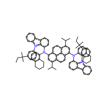 CCC(C)(C)c1cccc(-n2c3ccccc3c3cccc(N(c4cccc5c4CCCC5)c4cc(C(C)C)c5ccc6c(N(c7cccc8c7CCCC8)c7cccc8c9ccccc9n(-c9cccc(C(C)(C)CC)c9)c78)cc(C(C)C)c7ccc4c5c76)c32)c1